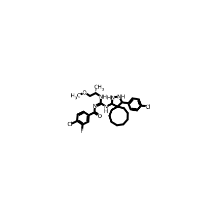 COC[C@H](C)N/C(=N/C(=O)c1ccc(Cl)c(F)c1)NC1NNC(c2ccc(Cl)cc2)C12CCCCCCCC2